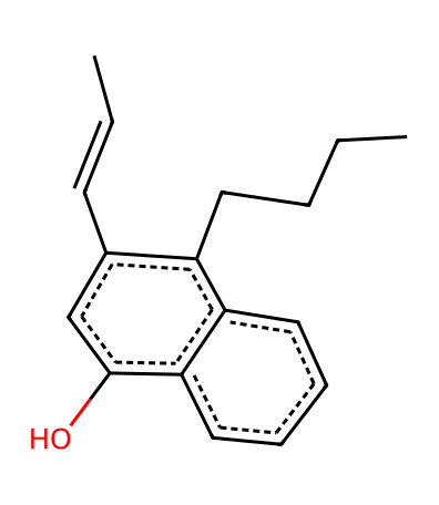 CC=Cc1cc(O)c2ccccc2c1CCCC